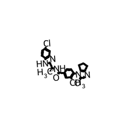 Cc1cc(C(=O)N[C@@H](C)c2nc3cc(Cl)ccc3[nH]2)ccc1-n1c2c(ncc1=O)CCC2